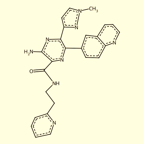 Cn1ccc(-c2nc(N)c(C(=O)NCCc3ccccn3)nc2-c2ccc3ncccc3c2)n1